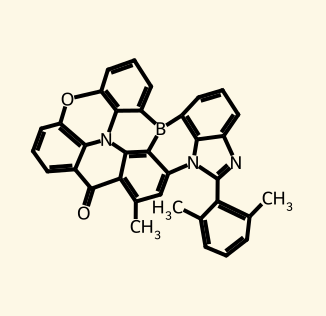 Cc1cccc(C)c1-c1nc2cccc3c2n1-c1cc(C)c2c(=O)c4cccc5c4n4c2c1B3c1cccc(c1-4)O5